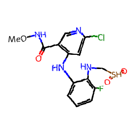 CONC(=O)c1cnc(Cl)cc1Nc1cccc(F)c1NC[SH](=O)=O